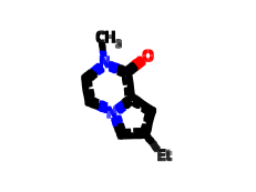 CCc1cc2c(=O)n(C)ccn2c1